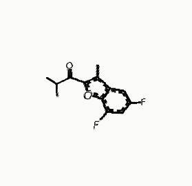 Cc1c(C(=O)C(C)C)oc2c(F)cc(F)cc12